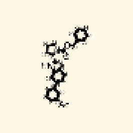 CC(=O)c1cccc(-c2ccc3nc([C@@H]4CCCN4C(=O)OCc4ccccc4)[nH]c3c2)c1